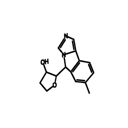 Cc1ccc2c(c1)C(C1OCCC1O)n1cncc1-2